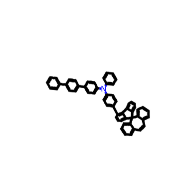 C1=Cc2ccccc2C2(c3ccccc31)c1ccccc1-c1c(-c3ccc(N(c4ccccc4)c4ccc(-c5ccc(-c6ccccc6)cc5)cc4)cc3)cccc12